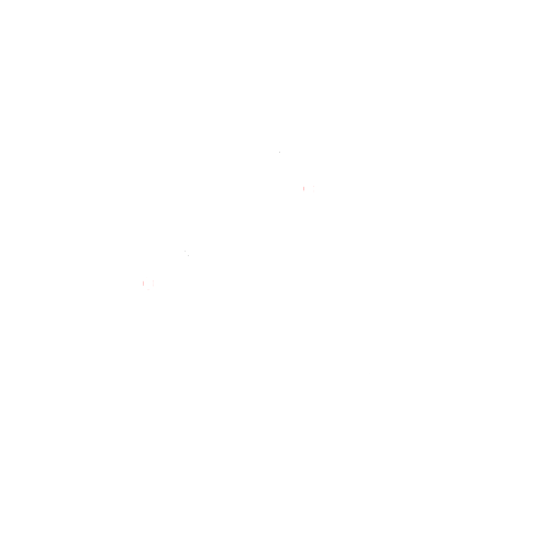 CC(C)CCCC1=CC(=O)CCC12CO2